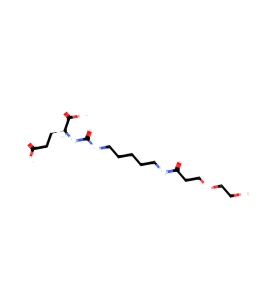 O=C(O)CC[C@H](NC(=O)NCCCCCNC(=O)CCOCCO)C(=O)O